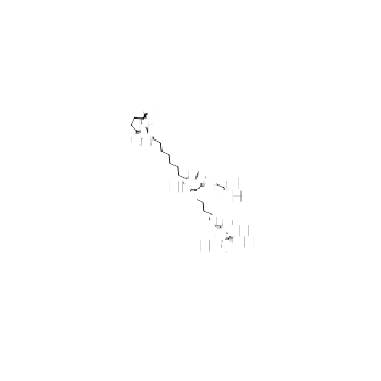 CC(C)COC(=O)[C@H](CCCCNC(=O)OC(C)(C)C)NC(=O)CCCCCCC(=O)ON1C(=O)CCC1=O